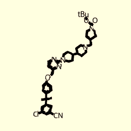 CC(C)(C)OC(=O)N1CCC(CN2CCC(C3CCN(c4nccc(COc5ccc(C(C)(C)c6cc(Cl)cc(C#N)c6)cc5)n4)CC3)CC2)CC1